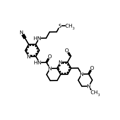 CSCCCNc1cc(NC(=O)N2CCCc3cc(CN4CCN(C)CC4=O)c(C=O)nc32)ncc1C#N